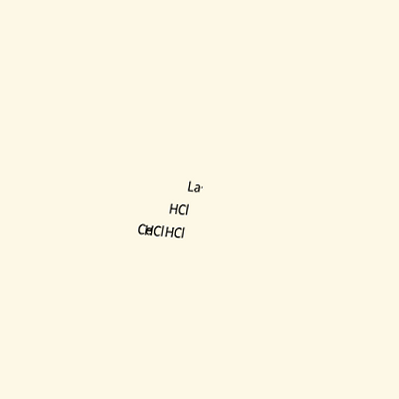 Cl.Cl.Cl.[Ce].[La]